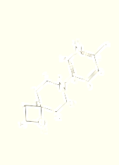 Cc1ccc(N2CCC3(CCO3)CC2)cn1